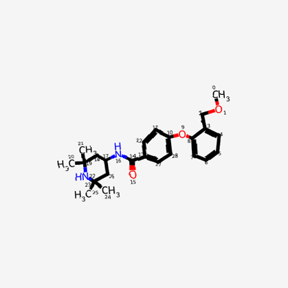 COCc1ccccc1Oc1ccc(C(=O)NC2CC(C)(C)NC(C)(C)C2)cc1